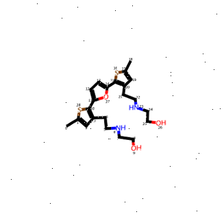 Cc1cc(CCNCCO)c(-c2ccc(-c3sc(C)cc3CCNCCO)o2)s1